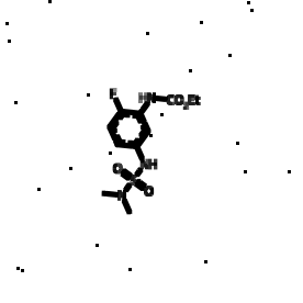 CCOC(=O)Nc1cc(NS(=O)(=O)N(C)C)ccc1F